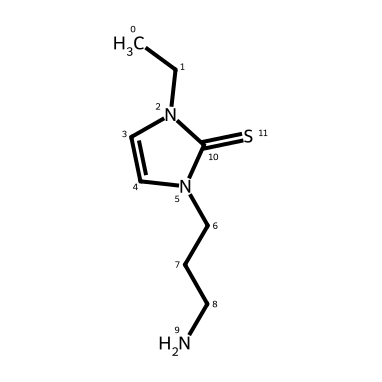 CCn1ccn(CCCN)c1=S